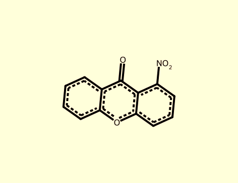 O=c1c2ccccc2oc2cccc([N+](=O)[O-])c12